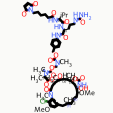 COc1cc2cc(c1Cl)N(C)C(=O)C[C@H](OC(=O)[C@H](C)N(C)C(=O)OCN(C)C(=O)OCc1ccc(NC(=O)[C@H](CCCNC(N)=O)NC(=O)[C@@H](NC(=O)CCCCCN3C(=O)C=CC3=O)C(C)C)cc1)[C@]1(C)O[C@H]1[C@H](C)[C@@H]1C[C@@](O)(NC(=O)O1)[C@H](OC)/C=C/C=C(\C)C2